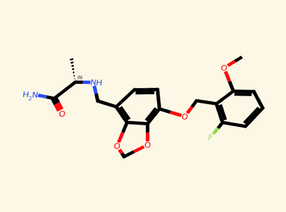 COc1cccc(F)c1COc1ccc(CN[C@@H](C)C(N)=O)c2c1OCO2